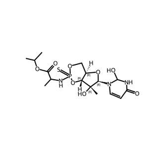 CC(C)OC(=O)C(C)NP1(=S)OC[C@H]2O[C@@H](N3C=CC(=O)NC3O)[C@](C)(O)[C@@H]2O1